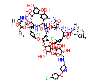 CN[C@H](CC(C)C)C(=O)NC1C(=O)N[C@@H](CC(N)=O)C(=O)N[C@H]2C(=O)N[C@H]3C(=O)N[C@H](C(=O)N[C@@H](C(=O)O)c4cc(O)cc(O)c4-c4cc3ccc4O)[C@H](O[C@H]3C[C@](C)(N)[C@@H](O)[C@H](C)O3)c3ccc(c(Cl)c3)Oc3cc2cc(c3O[C@@H]2O[C@H](CO)[C@@H](O[C@@H]3O[C@H](CNCc4ccc(Oc5ccc(Cl)cc5)nc4)[C@H](O)[C@H](O)[C@H]3O)[C@H](O)[C@H]2O)Oc2ccc(cc2Cl)[C@H]1O